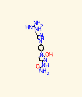 N=C(N)NCc1cn(-c2ccc(N3C=CC(NC(N)=O)=NC3O)cc2)nn1